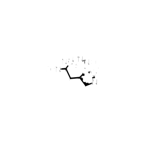 N[N+](=O)[O-].O=[N+]([O-])C(Cc1cnon1)[N+](=O)[O-]